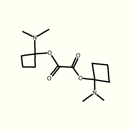 CN(C)C1(OC(=O)C(=O)OC2(N(C)C)CCC2)CCC1